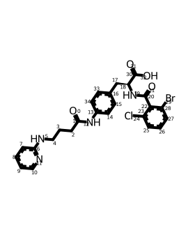 O=C(CCCNc1ccccn1)Nc1ccc(C[C@H](NC(=O)c2c(Cl)cccc2Br)C(=O)O)cc1